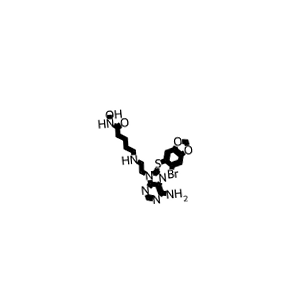 Nc1ncnc2c1nc(Sc1cc3c(cc1Br)OCO3)n2CCNCCCCC(=O)NO